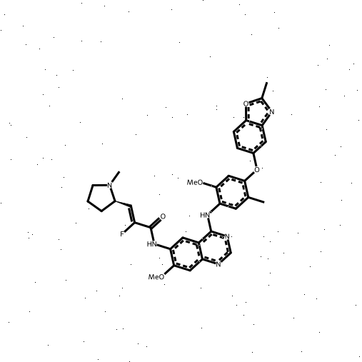 COc1cc2ncnc(Nc3cc(C)c(Oc4ccc5oc(C)nc5c4)cc3OC)c2cc1NC(=O)/C(F)=C/[C@H]1CCCN1C